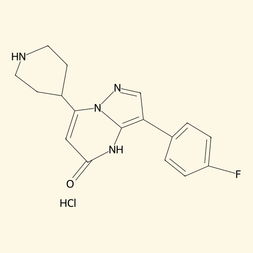 Cl.O=c1cc(C2CCNCC2)n2ncc(-c3ccc(F)cc3)c2[nH]1